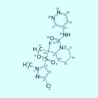 Cn1nc(Cl)cc1S(=O)(=O)C(C)(F)C1CCCCN1C(=O)Nc1ccnnc1